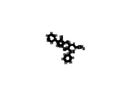 C=CCC(Sc1nnc(C2C=CC=NC2)[nH]1)C(=O)Nc1ccccc1